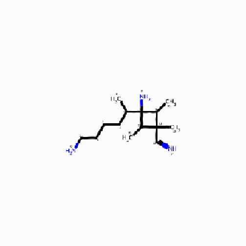 CC(CCCCN)C1(N)C(C)C(C)(C=N)C1C